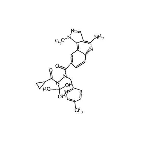 Cn1ncc2c(N)nc3ccc(C(=O)N(Cc4ccc(C(F)(F)F)cn4)N(C(=O)C4CC4)C(O)(O)O)cc3c21